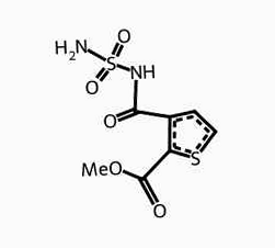 COC(=O)c1sccc1C(=O)NS(N)(=O)=O